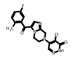 Cc1ccc(F)cc1C(=O)c1cnc2n1CCN(c1cn[nH]c(=O)c1Cl)C2